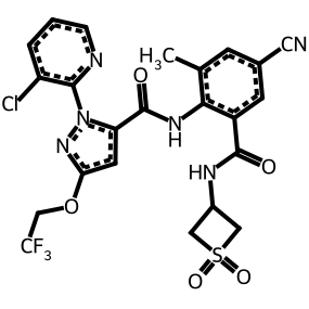 Cc1cc(C#N)cc(C(=O)NC2CS(=O)(=O)C2)c1NC(=O)c1cc(OCC(F)(F)F)nn1-c1ncccc1Cl